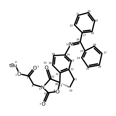 CC(C)(C)OC(=O)CN1C(=O)O[C@@]2(CCc3cc(N=C(c4ccccc4)c4ccccc4)ccc32)C1=O